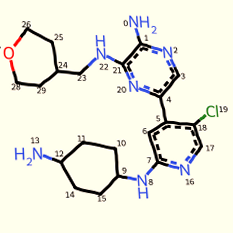 Nc1ncc(-c2cc(NC3CCC(N)CC3)ncc2Cl)nc1NCC1CCOCC1